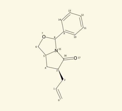 C=CC[C@H]1CC2COC(c3ccccc3)N2C1=O